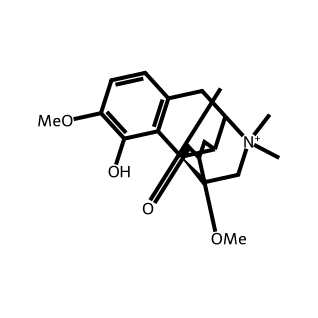 COc1ccc2c(c1O)[C@@]13CC[N+](C)(C)C(C2)C1CC(OC)C3=O